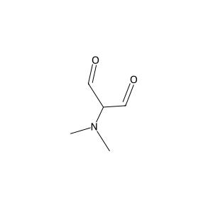 CN(C)C(C=O)C=O